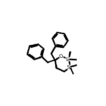 C[Si]1(C)CCC(Cc2ccccc2)(Cc2ccccc2)O[Si]1(C)C